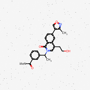 CNC(=O)c1cccc(C(C)n2cc(CCO)c3cc(-c4conc4C)ccc3c2=O)c1